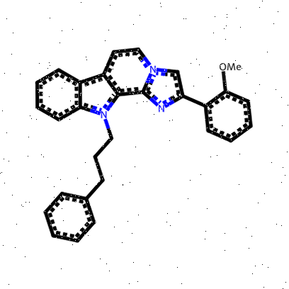 COc1ccccc1-c1cn2ccc3c4ccccc4n(CCCc4ccccc4)c3c2n1